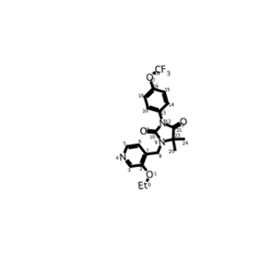 CCOc1cnccc1CN1C(=O)N(c2ccc(OC(F)(F)F)cc2)C(=O)C1(C)C